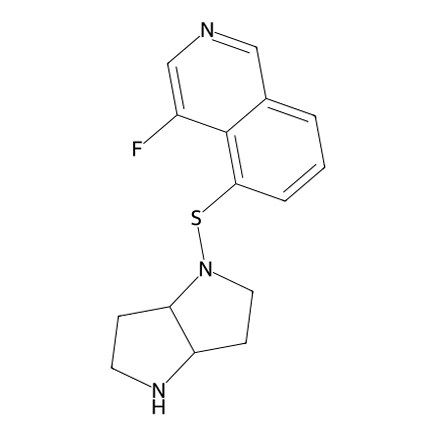 Fc1cncc2cccc(SN3CCC4NCCC43)c12